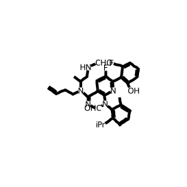 C=CCCN(/C(=N/C)c1cc(F)c(-c2c(O)cccc2F)nc1N(C=O)c1c(C)cccc1C(C)C)C(C)CNC=O